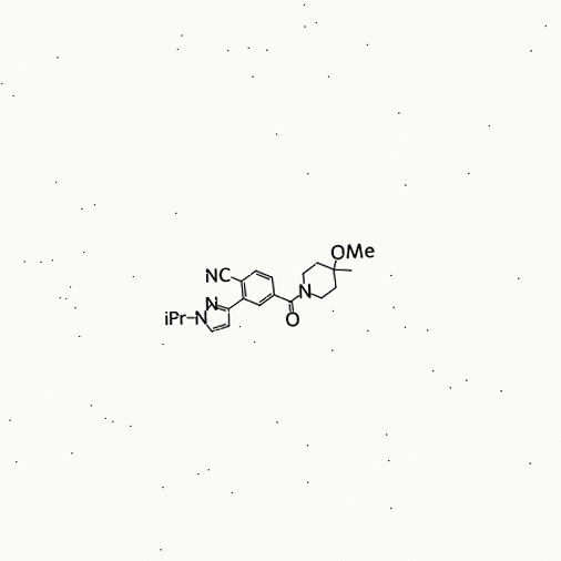 COC1(C)CCN(C(=O)c2ccc(C#N)c(-c3ccn(C(C)C)n3)c2)CC1